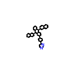 c1ccc2cc(-c3c4ccccc4c(-c4ccc5ccccc5c4)c4cc(-c5ccc(-c6ccncn6)cc5)ccc34)ccc2c1